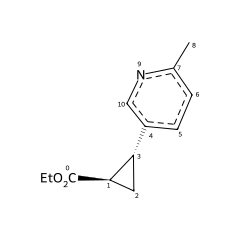 CCOC(=O)[C@@H]1C[C@H]1c1ccc(C)nc1